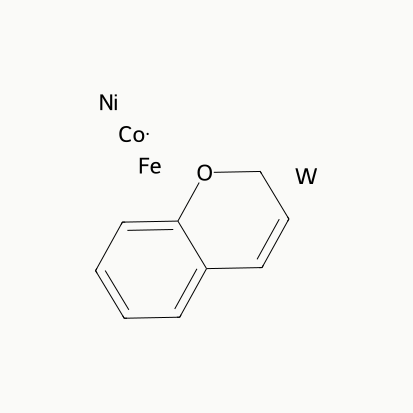 C1=Cc2ccccc2OC1.[Co].[Fe].[Ni].[W]